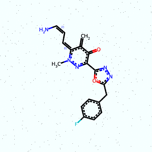 C=c1c(=O)c(-c2nnc(Cc3ccc(F)cc3)o2)nn(C)/c1=C/C=C\N